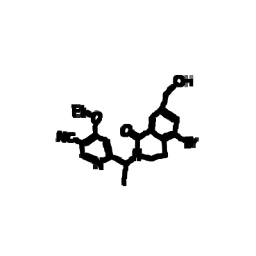 CCOc1cc(C(C)N2CCc3c(Br)cc(CO)cc3C2=O)ncc1C#N